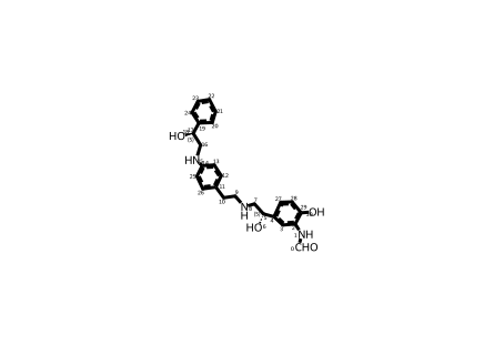 O=CNc1cc([C@H](O)CNCCc2ccc(NC[C@@H](O)c3ccccc3)cc2)ccc1O